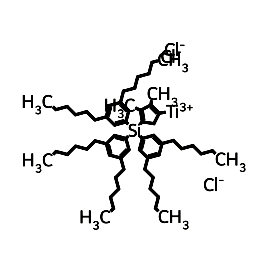 CCCCCCc1cc(CCCCCC)cc([Si](C2=C(C)C(C)=[C]([Ti+3])C2)(c2cc(CCCCCC)cc(CCCCCC)c2)c2cc(CCCCCC)cc(CCCCCC)c2)c1.[Cl-].[Cl-].[Cl-]